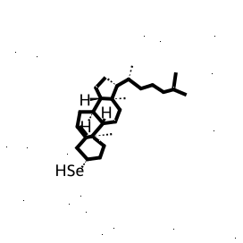 CC(C)CCC[C@@H](C)[C@H]1CC[C@H]2[C@@H]3CC=C4C[C@@H]([SeH])CC[C@]4(C)[C@H]3CC[C@]12C